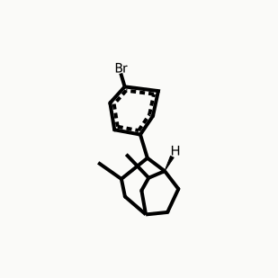 CC1CC2CC[C@H](C(C)C2)C1c1ccc(Br)cc1